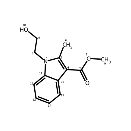 COC(=O)c1c(C)n(CCO)c2ccccc12